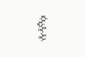 C=C(C)C(=O)NCCNC(=O)c1cncc(-c2cccnc2)c1